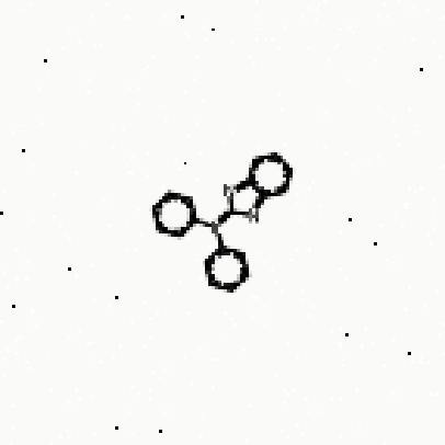 c1cc[c]([Ir](=[C]2N=c3ccccc3=N2)[c]2ccccc2)cc1